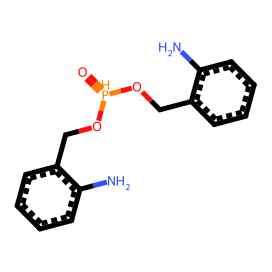 Nc1ccccc1CO[PH](=O)OCc1ccccc1N